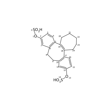 O=S(=O)(O)Oc1ccc2c(c1)CCc1cc(OS(=O)(=O)O)ccc1C1=C2CCCCC1